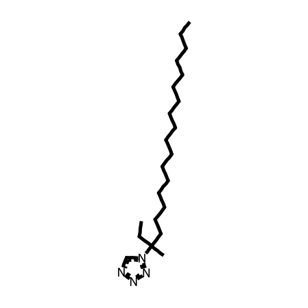 CCCCCCCCCCCCCCCCCC(C)(CC)n1cnnn1